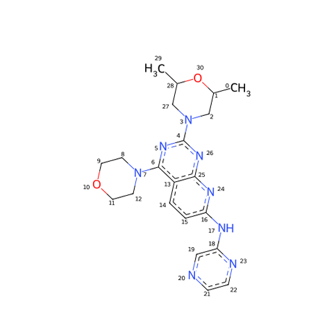 CC1CN(c2nc(N3CCOCC3)c3ccc(Nc4cnccn4)nc3n2)CC(C)O1